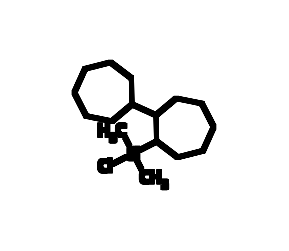 C[Si](C)(Cl)C1CCCCCC1C1CCCCCC1